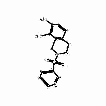 COc1ccc2c(c1C=O)CN(S(=O)(=O)c1cccnc1)CC2